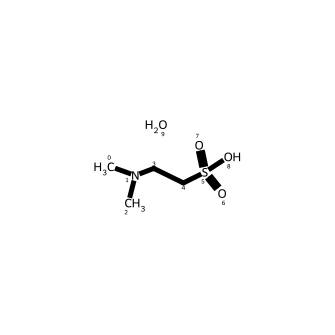 CN(C)CCS(=O)(=O)O.O